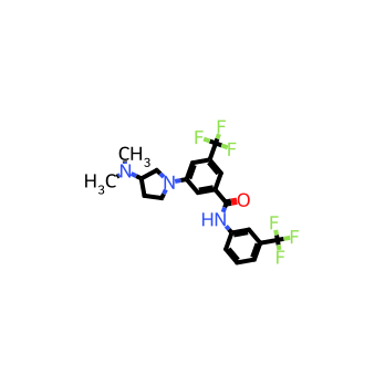 CN(C)C1CCN(c2cc(C(=O)Nc3cccc(C(F)(F)F)c3)cc(C(F)(F)F)c2)C1